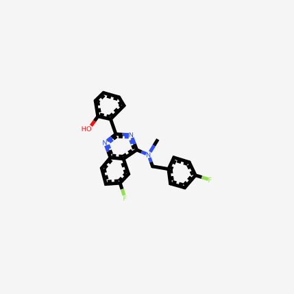 CN(Cc1ccc(F)cc1)c1nc(-c2ccccc2O)nc2ccc(F)cc12